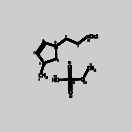 CCCCCCCCCCN1C=CN(C)C1.COS(=O)(=O)O